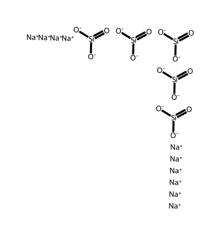 O=[Si]([O-])[O-].O=[Si]([O-])[O-].O=[Si]([O-])[O-].O=[Si]([O-])[O-].O=[Si]([O-])[O-].[Na+].[Na+].[Na+].[Na+].[Na+].[Na+].[Na+].[Na+].[Na+].[Na+]